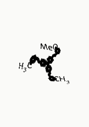 COc1cccc(C=Cc2ccc(N(c3ccc(C=Cc4cccc(C)c4)cc3)c3ccc(C=Cc4cccc(C)c4)cc3)cc2)c1